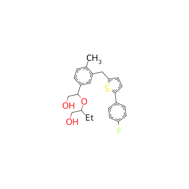 CCC(CO)OC(CO)c1ccc(C)c(Cc2ccc(-c3ccc(F)cc3)s2)c1